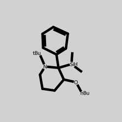 CCCCOC1CCCN(C(C)(C)C)C1(c1ccccc1)[SiH](C)C